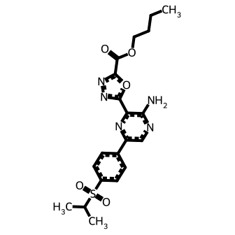 CCCCOC(=O)c1nnc(-c2nc(-c3ccc(S(=O)(=O)C(C)C)cc3)cnc2N)o1